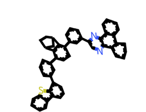 c1cc(-c2cnc3c4ccccc4c4ccccc4c3n2)cc(-c2ccc(-c3cccc(-c4cccc5c4sc4ccccc45)c3)c3c2C2CCC3C2)c1